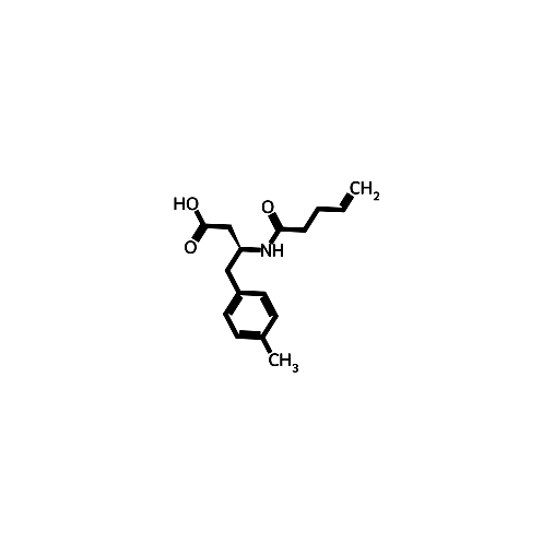 C=CCCC(=O)N[C@H](CC(=O)O)Cc1ccc(C)cc1